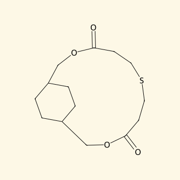 O=C1CCSCCC(=O)OCC2CCC(CC2)CO1